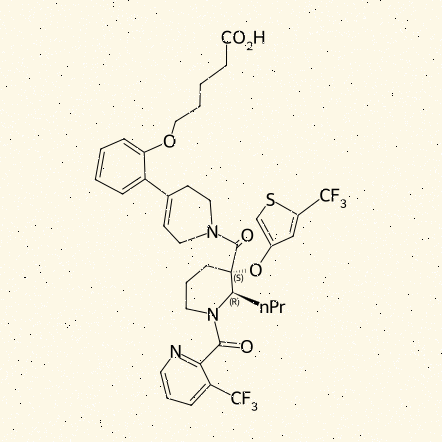 CCC[C@H]1N(C(=O)c2ncccc2C(F)(F)F)CCC[C@@]1(Oc1csc(C(F)(F)F)c1)C(=O)N1CC=C(c2ccccc2OCCCCC(=O)O)CC1